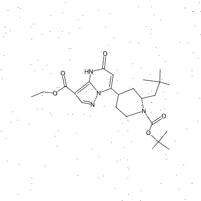 CCOC(=O)c1cnn2c(C3CCN(C(=O)OC(C)(C)C)C(CC(C)(C)C)C3)cc(=O)[nH]c12